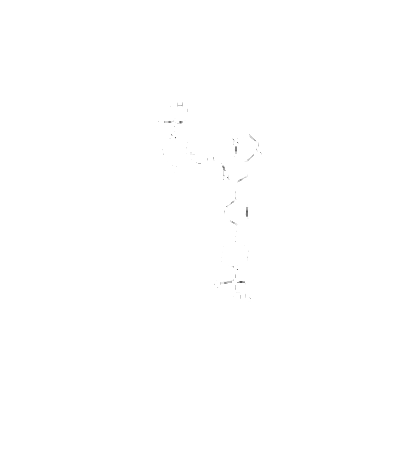 CS(=O)(=O)N1CCC(c2ccc(-c3cc4nccnc4c(OC[C@@H]4CN(S(C)(=O)=O)CCO4)n3)cc2)CC1